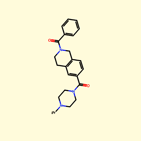 CC(C)N1CCN(C(=O)c2ccc3c(c2)CCN(C(=O)c2ccccc2)C3)CC1